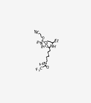 CCC(COP(OCCC#N)N(C(C)C)C(C)C)NC(=O)CCCCCNC(=O)C(F)(F)F